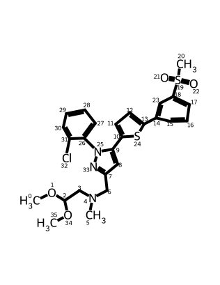 COC(CN(C)Cc1cc(-c2ccc(-c3cccc(S(C)(=O)=O)c3)s2)n(-c2ccccc2Cl)n1)OC